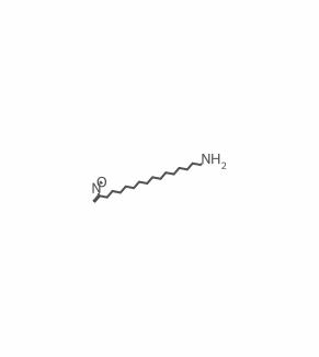 C=C(CCCCCCCCCCCCCCCN)N=O